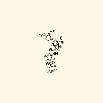 CCOc1cc(-c2cc(C(F)F)n3ncc(C(=O)Nc4cccc(S(=O)(=O)N5CCOCC5)c4)c3n2)ccc1C(F)(F)F